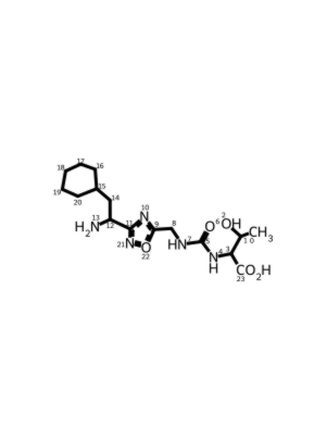 CC(O)C(NC(=O)NCc1nc(C(N)CC2CCCCC2)no1)C(=O)O